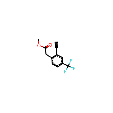 C#Cc1cc(C(F)(F)F)ccc1CC(=O)OC